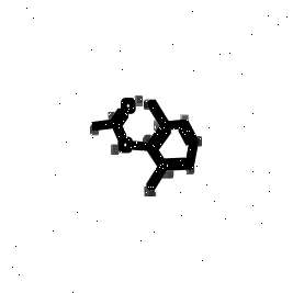 CC(=O)Oc1c(C)cccc1C